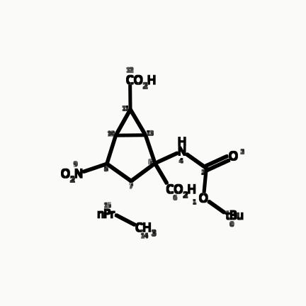 CC(C)(C)OC(=O)NC1(C(=O)O)CC([N+](=O)[O-])C2C(C(=O)O)C21.CCCC